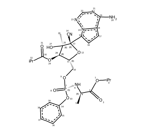 CC(C)OC(=O)[C@@H](C)N[P@](=O)(OC[C@H]1O[C@@](C#N)(c2ccc3c(N)ncnn23)[C@](C)(O)[C@@H]1OC(=O)C(C)C)Oc1ccccc1